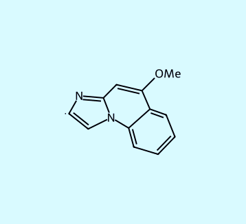 COc1cc2n[c]cn2c2ccccc12